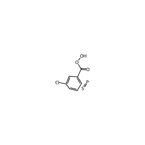 O=C(OO)c1cccc(Cl)c1.[P]=S